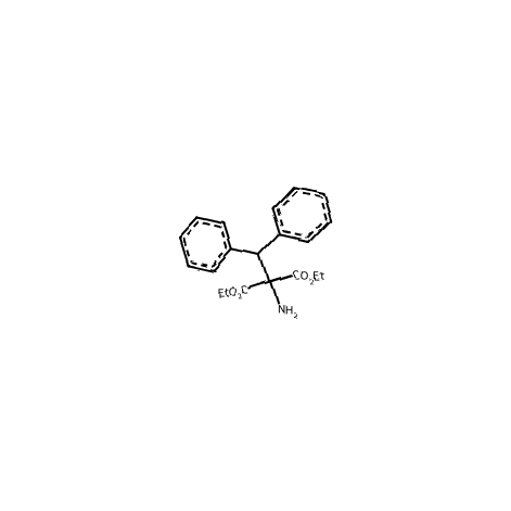 CCOC(=O)C(N)(C(=O)OCC)C(c1ccccc1)c1ccccc1